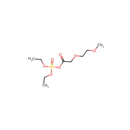 CCOP(=O)(OCC)OC(=O)COCCOC